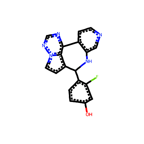 Oc1ccc(C2Nc3cnccc3-c3ncnn4ccc2c34)c(F)c1